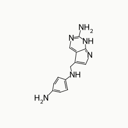 Nc1ccc(NCc2cnc3[nH]c(N)ncc2-3)cc1